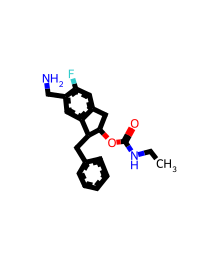 CCNC(=O)OC1Cc2cc(F)c(CN)cc2C1Cc1ccccc1